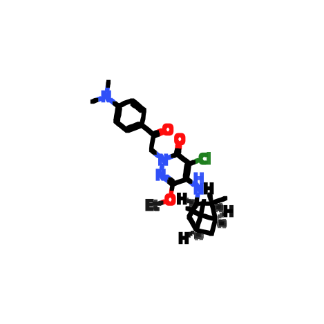 CCOc1nn(CC(=O)c2ccc(N(C)C)cc2)c(=O)c(Cl)c1N[C@@H]1C[C@@H]2C[C@H]([C@H]1C)C2(C)C